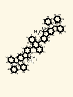 CC1(C)c2cc(-c3c4ccccc4c(-c4ccc5c(c4)C(C)(C)c4cc([Si](c6ccccc6)(c6ccccc6)c6ccccc6)ccc4-5)c4ccccc34)ccc2-c2ccc([Si](c3ccccc3)(c3ccccc3)c3ccccc3)cc21